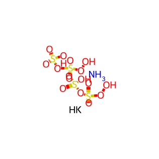 N.O=S(=O)(O)OS(=O)(=O)OO.O=S(=O)(O)OS(=O)(=O)OO.[KH]